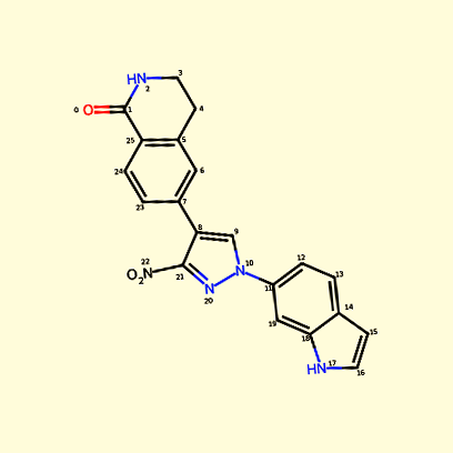 O=C1NCCc2cc(-c3cn(-c4ccc5cc[nH]c5c4)nc3[N+](=O)[O-])ccc21